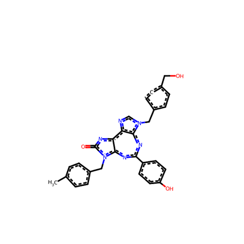 Cc1ccc(Cn2c3nc(-c4ccc(O)cc4)nc4c(ncn4Cc4ccc(CO)cc4)c-3nc2=O)cc1